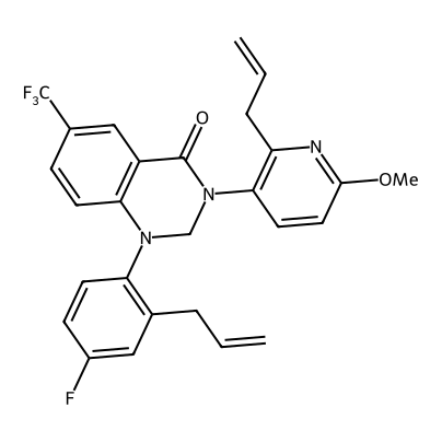 C=CCc1cc(F)ccc1N1CN(c2ccc(OC)nc2CC=C)C(=O)c2cc(C(F)(F)F)ccc21